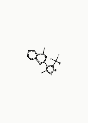 Cc1n[nH]c(C(F)(F)F)c1-c1cc(C)c2ccccc2n1